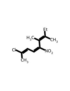 CC/C(C)=C(C)/C(=C\C=C(/C)Cl)[N+](=O)[O-]